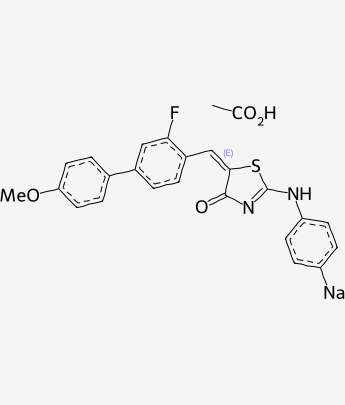 CC(=O)O.COc1ccc(-c2ccc(/C=C3/SC(Nc4cc[c]([Na])cc4)=NC3=O)c(F)c2)cc1